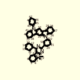 C[Si]1(C)c2ccccc2-c2c(-c3ccccc3)nc(-c3cccc(-n4c5ccccc5c5cc6c(cc54)c4ccccc4n6-c4ccccc4)c3)nc21